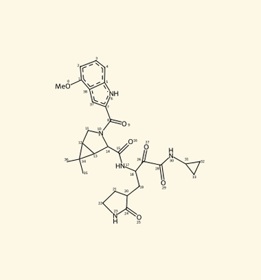 COc1cccc2[nH]c(C(=O)N3CC4C(C3C(=O)NC(CC3CCNC3=O)C(=O)C(=O)NC3CC3)C4(C)C)cc12